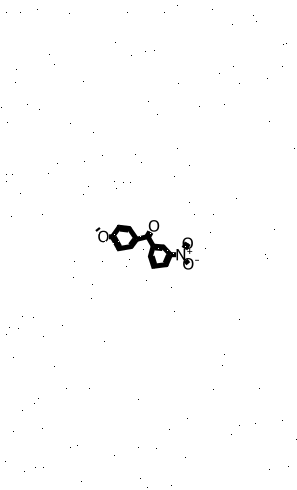 COc1ccc(C(=O)c2cccc([N+](=O)[O-])c2)cc1